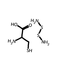 NC(CS)C(=O)O.NSSN